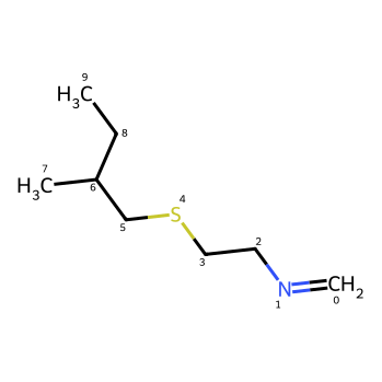 C=NCCSCC(C)CC